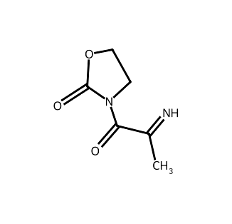 CC(=N)C(=O)N1CCOC1=O